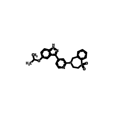 CC(C)Oc1ccc2[nH]nc(-c3ccnc(N4CCS(=O)(=O)c5ccccc5C4)c3)c2c1